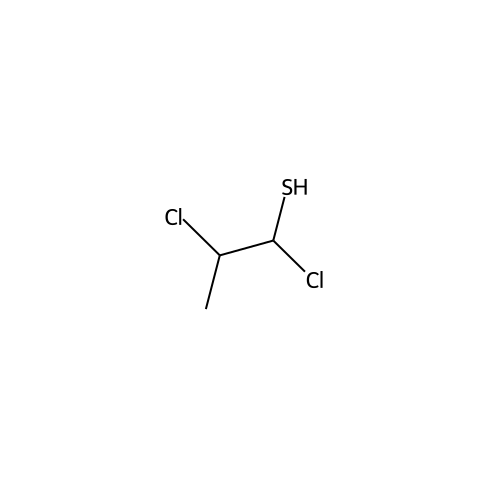 CC(Cl)C(S)Cl